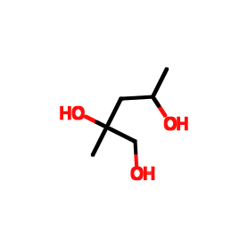 CC(O)CC(C)(O)CO